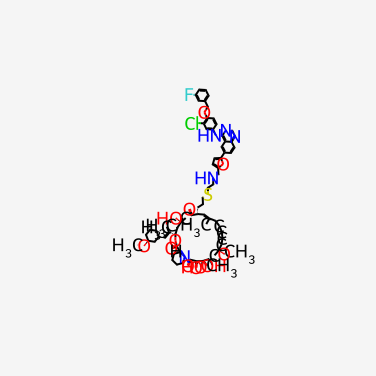 CO[C@@H]1CCCCC/C(C)=C/[C@@H](CCCSCCNCc2ccc(-c3ccc4ncnc(Nc5ccc(OCc6cccc(F)c6)c(Cl)c5)c4c3)o2)C(=O)C[C@H](O)[C@@H](C)[C@@H](/C(C)=C/[C@@H]2CCC[C@H](OC)C2)OC(=O)[C@@H]2CCCCN2C(=O)C(=O)C(O)(O)[C@H](C)C1